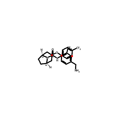 NCc1ccc(O[C@H]2C[C@H]3CC[C@@H](C2)N3C(=O)Nc2ccc(C(F)(F)F)cc2)c(C(F)(F)F)c1